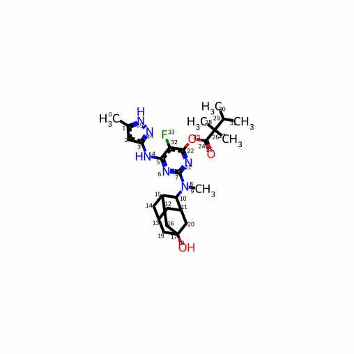 Cc1cc(Nc2nc(N(C)C3C4CC5CC3CC(O)(C5)C4)nc(OC(=O)C(C)(C)C(C)C)c2F)n[nH]1